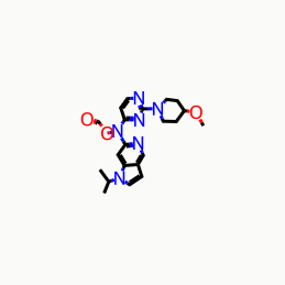 COC1CCN(c2nccc(N(OC=O)c3cc4c(ccn4C(C)C)cn3)n2)CC1